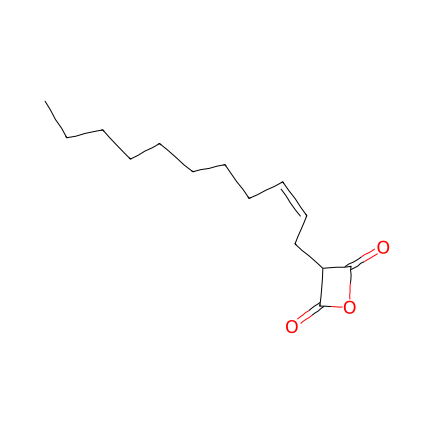 CCCCCCCC/C=C\CC1C(=O)OC1=O